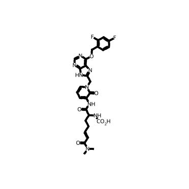 CN(C)C(=O)C=CCCC(NC(=O)O)C(=O)Nc1cccn(Cc2nc3c(OCc4ccc(F)cc4F)ncnc3[nH]2)c1=O